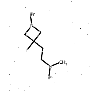 CC(C)N(C)CCC1(I)CN(C(C)C)C1